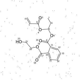 C=CC(=O)OC(CC)OC(=O)c1ccccc1C(=O)OCCO